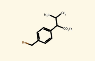 CCOC(=O)C(c1ccc(CBr)cc1)C(C)C(F)(F)F